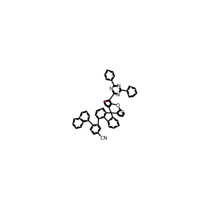 N#Cc1ccc(-c2cccc3ccccc23)c(-c2cccc3c2-c2ccccc2C32c3ccccc3Oc3c(-c4nc(-c5ccccc5)nc(-c5ccccc5)n4)cccc32)c1